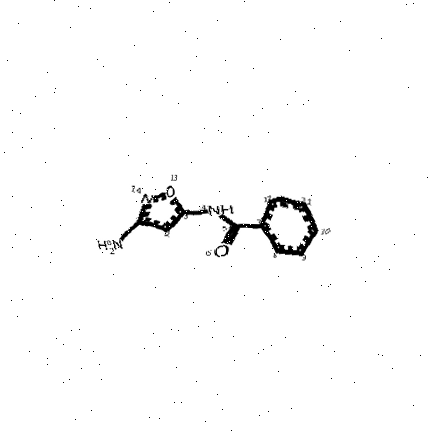 Nc1cc(NC(=O)c2ccccc2)on1